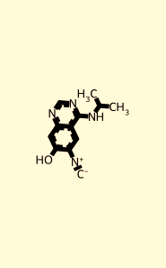 [C-]#[N+]c1cc2c(NC(C)C)ncnc2cc1O